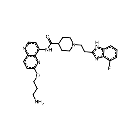 NCCCOc1ccc2nccc(NC(=O)C3CCN(CCc4nc5c(F)cccc5[nH]4)CC3)c2n1